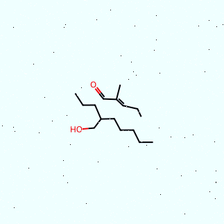 CC/C=C(\C)C=O.CCCCCC(CO)CCC